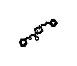 O=C(CSCc1ccccc1)N1CCN(CCCc2ccccc2)CC1